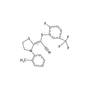 Cc1ccccc1N1CCS/C1=C(/C#N)Sc1cc(C(F)(F)F)ccc1F